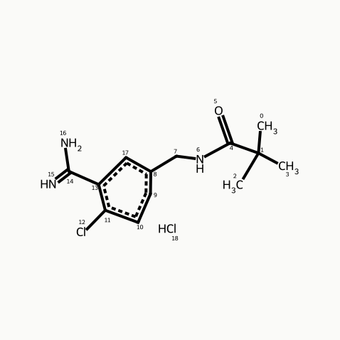 CC(C)(C)C(=O)NCc1ccc(Cl)c(C(=N)N)c1.Cl